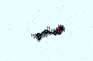 C[N+]1(C)[C@@H]2C[C@@H](OC(=O)Nc3cc(CCC(=O)Nc4ccc(CNC[C@H](O)c5ccc(O)c6[nH]c(=O)ccc56)c(Cl)c4)ccc3-c3ccccc3)C[C@H]1[C@@H]1O[C@@H]12